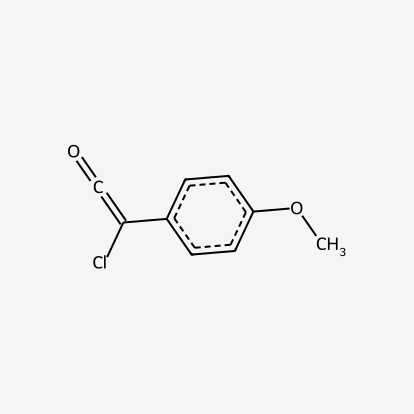 COc1ccc(C(Cl)=C=O)cc1